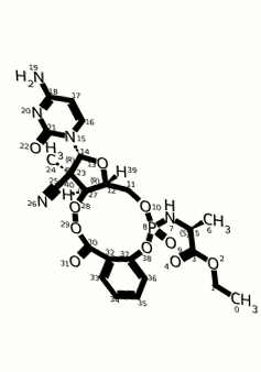 CCOC(=O)[C@H](C)NP1(=O)OC[C@H]2O[C@@H](n3ccc(N)nc3=O)[C@](C)(C#N)[C@@H]2OOC(=O)c2ccccc2O1